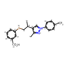 Cc1nn(-c2ccc(C(F)(F)F)cc2)cc1C(C)CSc1cccc(C(=O)O)c1